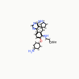 COCCNc1c(O[C@H]2CC[C@H](N)CC2)ccc2c1CC1(CCCC1)c1c(N)ncnc1-2